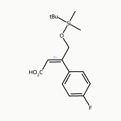 CC(C)(C)[Si](C)(C)OC/C(=C/C(=O)O)c1ccc(F)cc1